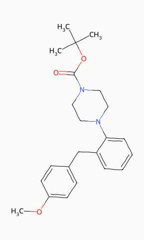 COc1ccc(Cc2ccccc2N2CCN(C(=O)OC(C)(C)C)CC2)cc1